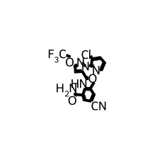 Cc1cc(C#N)cc(C(N)=O)c1NC(=O)c1cc(OCC(F)(F)F)nn1-c1ncccc1Cl